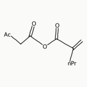 C=C(CCC)C(=O)OC(=O)CC(C)=O